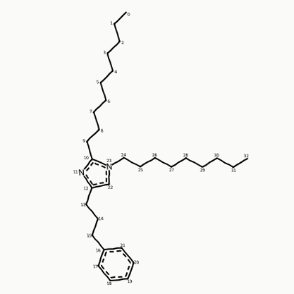 CCCCCCCCCCc1nc(CCCc2ccccc2)cn1CCCCCCCCC